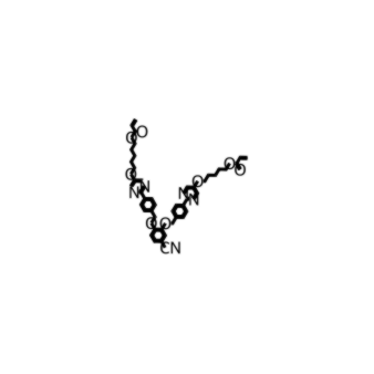 C=CC(=O)OCCCCCOc1cnc(-c2ccc(COc3ccc(C#N)cc3OCc3ccc(-c4ncc(OCCCCCOC(=O)C=C)cn4)cc3)cc2)nc1